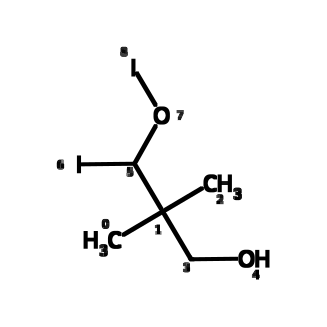 CC(C)(CO)C(I)OI